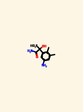 Cc1cc(N)cc(C(O)(C(N)=O)S(=O)(=O)O)c1C